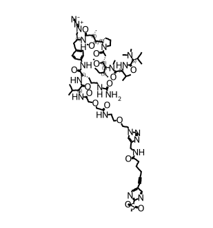 CC[C@H](C)[C@@H]([C@@H](CC(=O)N1CCC[C@H]1[C@H](OC)[C@@H](C)C(=O)N[C@H](CN=[N+]=[N-])Cc1ccc(NC(=O)[C@H](CCCNC(N)=O)NC(=O)[C@@H](NC(=O)COCC(=O)NCCOCCn2cc(CNC(=O)CCCC#Cc3cnc(S(C)(=O)=O)nc3)nn2)C(C)C)cc1)OC)N(C)C(=O)[C@@H](NC(=O)[C@H](C(C)C)N(C)C)C(C)C